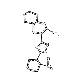 Nc1nc2ccccc2nc1-c1nnc(-c2ccccc2[N+](=O)[O-])o1